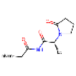 CCCCCCCCCCC(=O)NC(=O)[C@H](CC)N1CCCC1=O